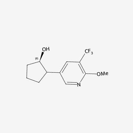 COc1ncc(C2CCC[C@H]2O)cc1C(F)(F)F